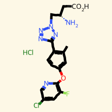 Cc1cc(Oc2ncc(Cl)cc2F)ccc1-c1nnn(C[C@@H](N)CC(=O)O)n1.Cl